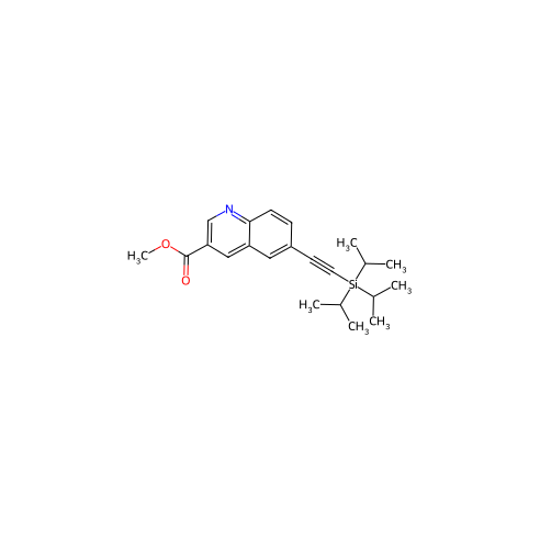 COC(=O)c1cnc2ccc(C#C[Si](C(C)C)(C(C)C)C(C)C)cc2c1